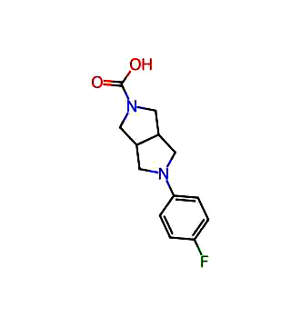 O=C(O)N1CC2CN(c3ccc(F)cc3)CC2C1